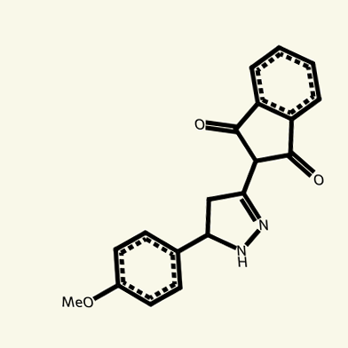 COc1ccc(C2CC(C3C(=O)c4ccccc4C3=O)=NN2)cc1